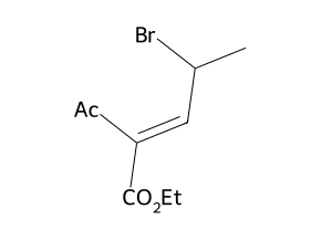 CCOC(=O)/C(=C/C(C)Br)C(C)=O